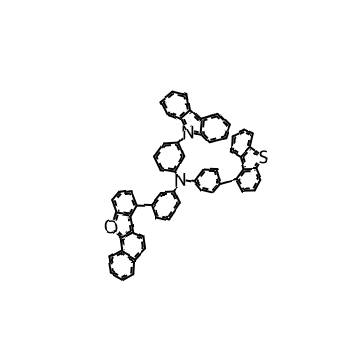 c1cc(-c2cccc3oc4c5ccccc5ccc4c23)cc(N(c2ccc(-c3cccc4sc5ccccc5c34)cc2)c2cccc(-n3c4ccccc4c4ccccc43)c2)c1